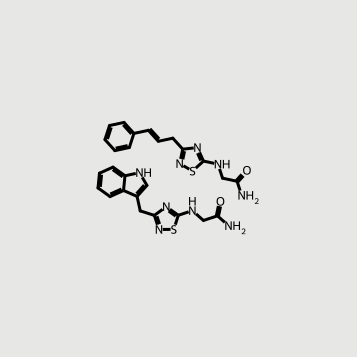 NC(=O)CNc1nc(CC=Cc2ccccc2)ns1.NC(=O)CNc1nc(Cc2c[nH]c3ccccc23)ns1